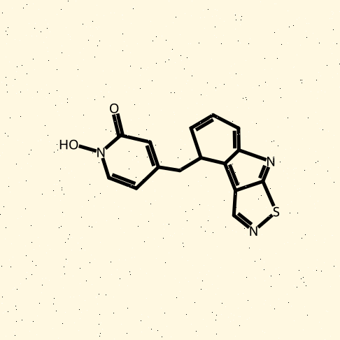 O=c1cc(CC2C=CC=C3N=c4sncc4=C32)ccn1O